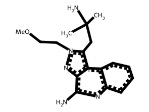 COCCn1nc2c(N)nc3ccccc3c2c1CC(C)(C)N